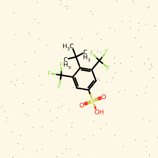 CC(C)(C)c1c(C(F)(F)F)cc(S(=O)(=O)O)cc1C(F)(F)F